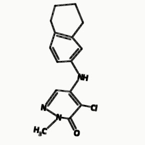 Cn1ncc(Nc2ccc3c(c2)CCCC3)c(Cl)c1=O